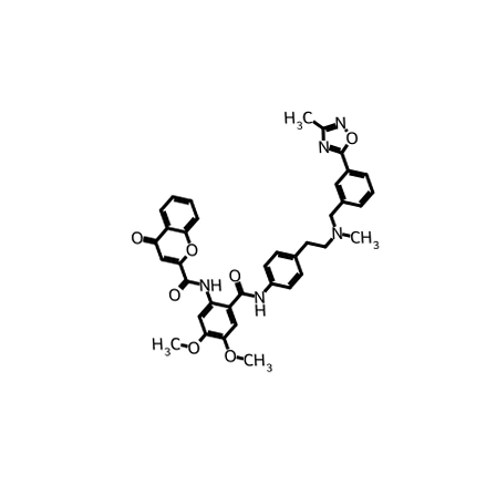 COc1cc(NC(=O)c2cc(=O)c3ccccc3o2)c(C(=O)Nc2ccc(CCN(C)Cc3cccc(-c4nc(C)no4)c3)cc2)cc1OC